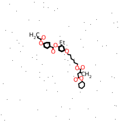 C=CC(=O)Oc1ccc(C(=O)Oc2ccc(OCCCCCCOC(=O)C(=C)CC(=O)OC3CCCCC3)cc2CC)cc1